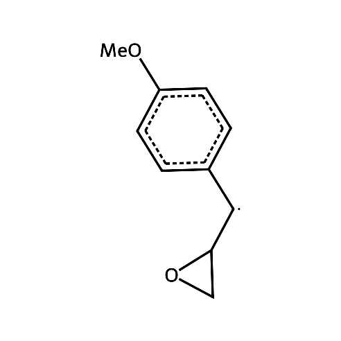 COc1ccc([CH]C2CO2)cc1